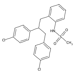 CS(=O)(=O)Nc1ccccc1CC(Cc1ccc(Cl)cc1)c1ccc(Cl)cc1